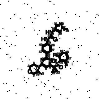 C[C@H]1COCCN1c1cc(C2(S(=O)(=O)c3c(F)cccc3F)CC2)nc(-c2ccc(NC(=O)Nc3cnn(C)c3)cc2)n1